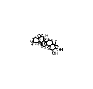 CC1(C)CC[C@]2(C(=O)O)CCC3(C)C(=CCC4C5(C)C[C@@H](O)[C@H](O)C(C)(C)C5CCC43C)[C@@H]2C1